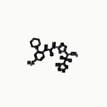 Cc1ccc(NC(=O)Nc2ncc(C(C)S(=O)(=O)c3nnn[nH]3)s2)c(N2CCCCC2)c1